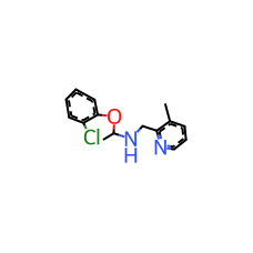 Cc1cccnc1CNC(C)Oc1ccccc1Cl